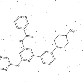 O=C(Nc1cc(Nc2cnccn2)nc(-c2ccnc(N3CCN(C(=O)O)CC3)c2)c1)c1cncnc1